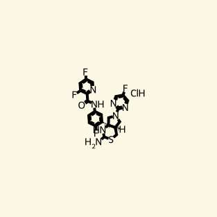 Cl.NC1N[C@@]2(c3cc(NC(=O)c4ncc(F)cc4F)ccc3F)CN(c3ncc(F)cn3)C[C@H]2CS1